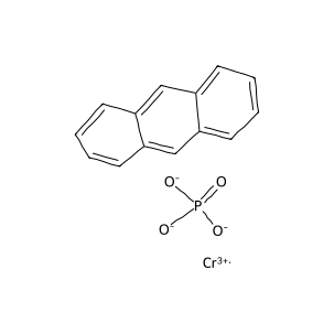 O=P([O-])([O-])[O-].[Cr+3].c1ccc2cc3ccccc3cc2c1